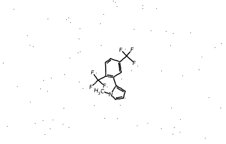 Cn1c[c]cc1-c1cc(C(F)(F)F)ccc1C(F)(F)F